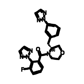 O=C(c1cccc(F)c1-n1nccn1)N1CCOC[C@H]1Cc1cccc(-n2nccn2)c1